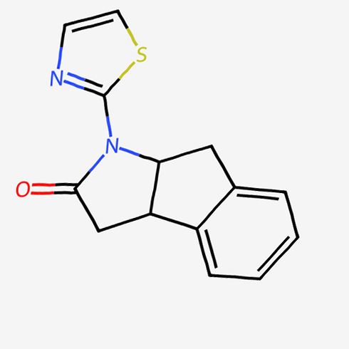 O=C1CC2c3ccccc3CC2N1c1nccs1